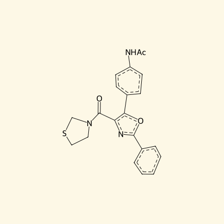 CC(=O)Nc1ccc(-c2oc(-c3ccccc3)nc2C(=O)N2CCSC2)cc1